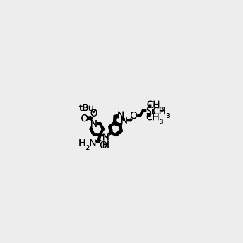 CC(C)(C)OC(=O)N1CCC(Nc2ccc3c(cnn3COCC[Si](C)(C)C)c2)(C(N)=O)CC1